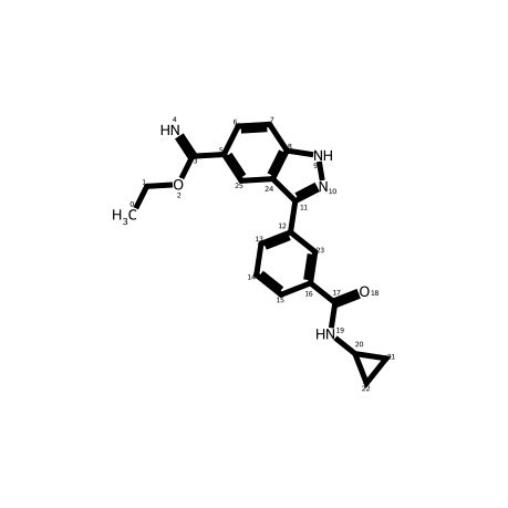 CCOC(=N)c1ccc2[nH]nc(-c3cccc(C(=O)NC4CC4)c3)c2c1